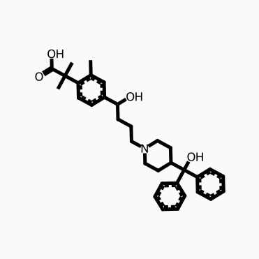 Cc1cc(C(O)CCCN2CCC(C(O)(c3ccccc3)c3ccccc3)CC2)ccc1C(C)(C)C(=O)O